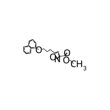 CCOC(=O)c1cc(CCCOc2cccc3ccccc23)on1